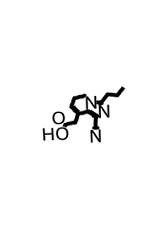 CCCc1nc(C#N)c2n1CCC=C2CC(=O)O